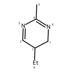 CCC1C=NC(C)=NC1